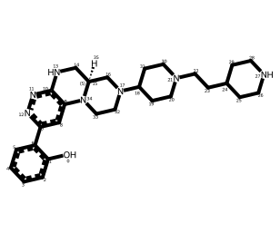 Oc1ccccc1-c1cc2c(nn1)NC[C@H]1CN(C3CCN(CCC4CCNCC4)CC3)CCN21